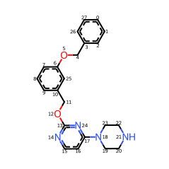 c1ccc(COc2cccc(COc3nccc(N4CCNCC4)n3)c2)cc1